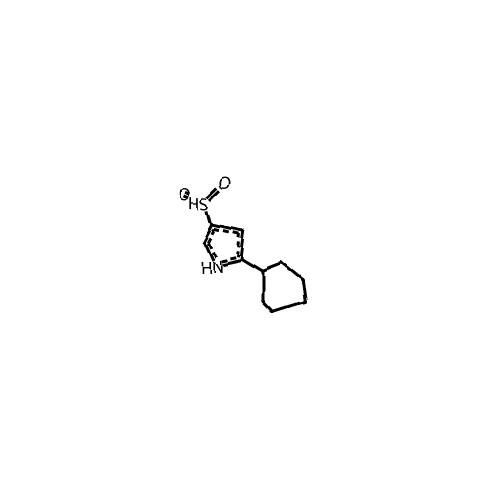 O=[SH](=O)c1c[nH]c(C2CCCCC2)c1